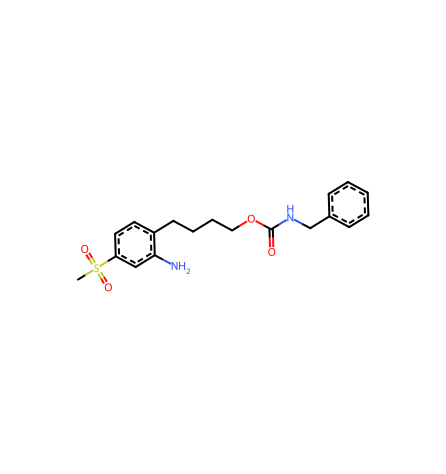 CS(=O)(=O)c1ccc(CCCCOC(=O)NCc2ccccc2)c(N)c1